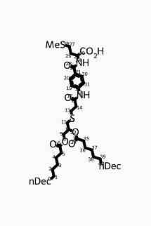 CCCCCCCCCCCCCCCC(=O)OCC(CSCCC(=O)Nc1ccc(C(=O)NC(CCSC)C(=O)O)cc1)OC(=O)CCCCCCCCCCCCCCC